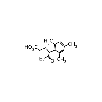 CCC(=O)C(CCC(=O)O)c1c(C)cc(C)cc1C